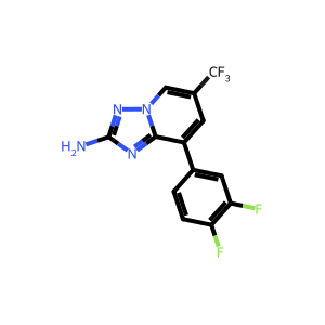 Nc1nc2c(-c3ccc(F)c(F)c3)cc(C(F)(F)F)cn2n1